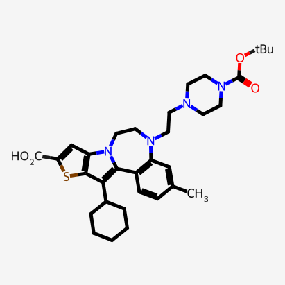 Cc1ccc2c(c1)N(CCN1CCN(C(=O)OC(C)(C)C)CC1)CCn1c-2c(C2CCCCC2)c2sc(C(=O)O)cc21